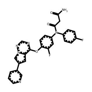 NC(=O)CC(=O)N(c1ccc(F)cc1)c1ccc(Oc2ncnn3cc(-c4cccnc4)cc23)c(F)c1